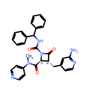 CN(C(=O)[C@@H]1[C@@H](Cc2ccnc(N)c2)C(=O)N1C(=O)NC(c1ccccc1)c1ccccc1)c1ccncc1